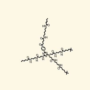 CC/C=C/C(=O)NCCCCCCNC(=O)CCCC(=O)N1CCN(c2nc(NCCC(=O)NCCCNC(=O)CCCCC)nc(N(CCC(=O)NCCCNC(=O)CCCCC(C)(C)C)CCC(=O)NCCCNC(=O)CCCCC(C)(C)C)n2)CC1